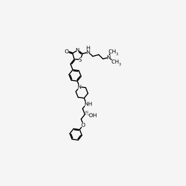 CN(C)CCCNC1=NC(=O)C(=Cc2ccc(N3CCC(NC[C@H](O)COc4ccccc4)CC3)cc2)S1